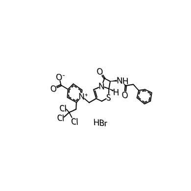 Br.O=C(Cc1ccccc1)N[C@@H]1C(=O)N2C=C(C[n+]3ccc(C(=O)[O-])cc3CC(Cl)(Cl)Cl)CS[C@@H]12